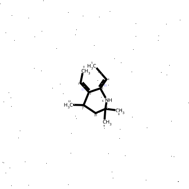 C/C=C1\C(=C/C)NC(C)(C)CC1C